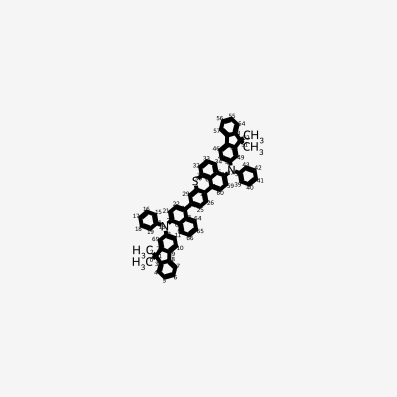 CC1(C)c2ccccc2-c2ccc(N(c3ccccc3)c3ccc(-c4ccc5c(c4)Sc4cccc6c(N(c7ccccc7)c7ccc8c(c7)C(C)(C)c7ccccc7-8)ccc-5c46)c4ccccc34)cc21